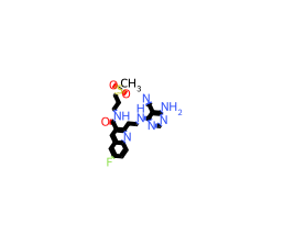 CS(=O)(=O)CCCNC(=O)c1cc2cc(F)ccc2nc1CCNc1ncnc(N)c1C#N